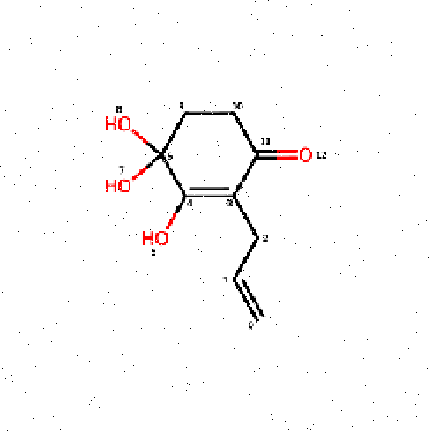 C=CCC1=C(O)C(O)(O)CCC1=O